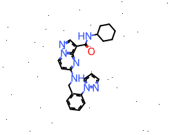 O=C(NC1CCCCC1)c1cnn2ccc(NCc3ccccc3-n3cccn3)nc12